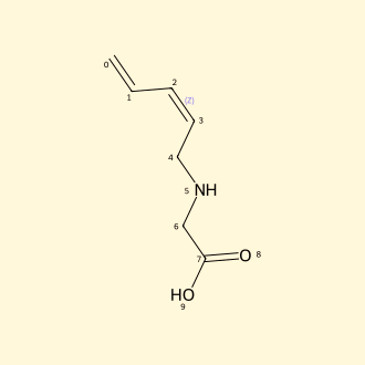 C=C/C=C\CNCC(=O)O